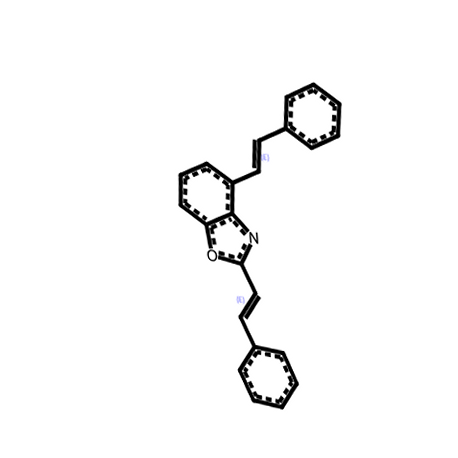 C(=C\c1nc2c(/C=C/c3ccccc3)cccc2o1)/c1ccccc1